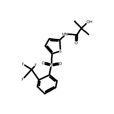 CC(C)(O)C(=O)Nc1ccc(S(=O)(=O)c2ccccc2C(F)(F)F)s1